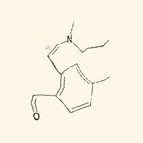 CCN(C)/C=C\c1cc(C)ccc1C=O